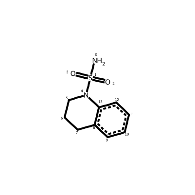 NS(=O)(=O)N1CCCc2ccccc21